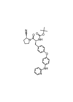 CC(C)(C)OC(=O)N[C@@H](Cc1ccc(Oc2ccc(Nc3ccccn3)cc2)cc1)C(=O)N1CCC[C@H]1C#N